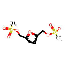 CS(=O)(=O)OCc1ccc(COS(=O)(=O)C(F)(F)F)o1